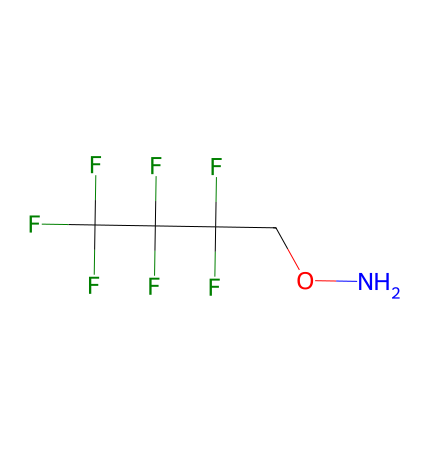 NOCC(F)(F)C(F)(F)C(F)(F)F